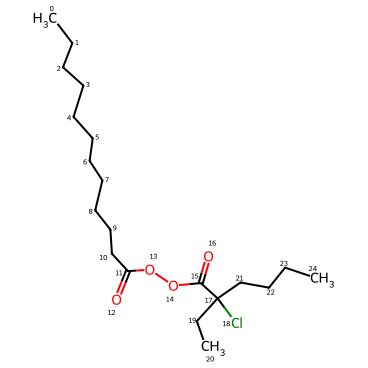 CCCCCCCCCCCC(=O)OOC(=O)C(Cl)(CC)CCCC